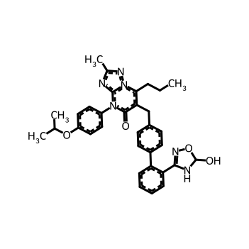 CCCc1c(Cc2ccc(-c3ccccc3C3=NOC(O)N3)cc2)c(=O)n(-c2ccc(OC(C)C)cc2)c2nc(C)nn12